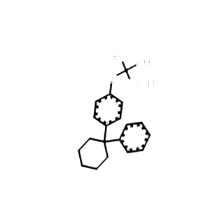 CCC(C)(Oc1ccc(C2(c3ccccc3)CCCCC2)cc1)C(=O)O